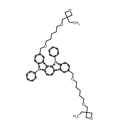 CCC1(COCCCCCOCc2ccc3c(c2)c2c(ccc4c5cc(COCCCCCOCC6(CC)COC6)ccc5n(-c5ccccc5)c42)n3-c2ccccc2)COC1